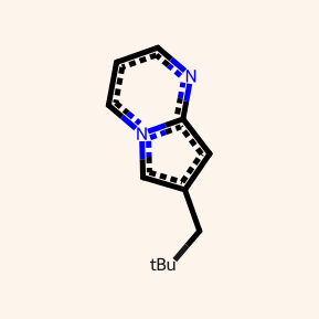 CC(C)(C)Cc1cc2ncccn2c1